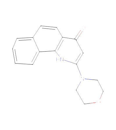 O=c1cc(N2CCOCC2)[nH]c2c1ccc1ccccc12